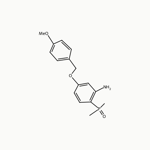 COc1ccc(COc2ccc(P(C)(C)=O)c(N)c2)cc1